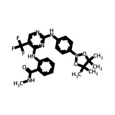 CNC(=O)c1ccccc1Nc1nc(Nc2ccc(B3OC(C)(C)C(C)(C)O3)cc2)ncc1C(F)(F)F